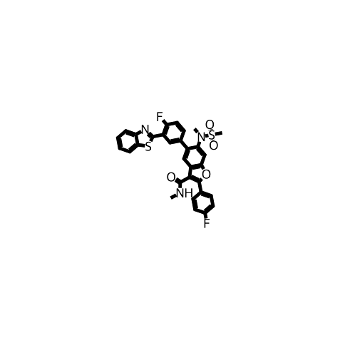 CNC(=O)c1c(-c2ccc(F)cc2)oc2cc(N(C)S(C)(=O)=O)c(-c3ccc(F)c(-c4nc5ccccc5s4)c3)cc12